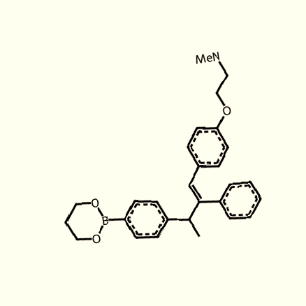 CNCCOc1ccc(C=C(c2ccccc2)C(C)c2ccc(B3OCCCO3)cc2)cc1